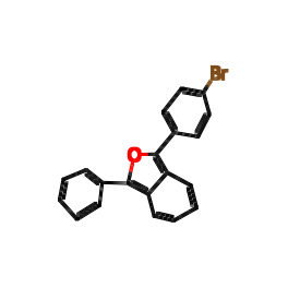 Brc1ccc(-c2oc(-c3ccccc3)c3ccccc23)cc1